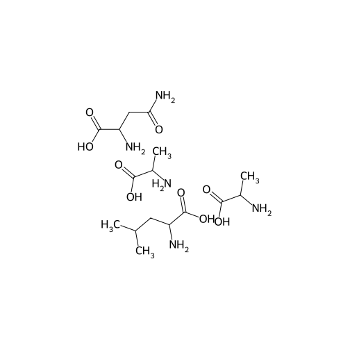 CC(C)CC(N)C(=O)O.CC(N)C(=O)O.CC(N)C(=O)O.NC(=O)CC(N)C(=O)O